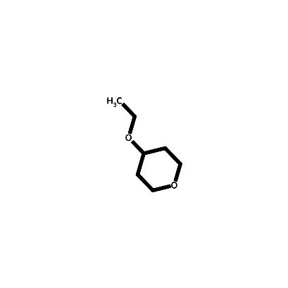 CCO[C]1CCOCC1